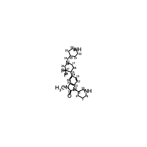 Cn1c(=O)n(C2CCCNC2)c2ccc(C3CCN(CC4CCNCC4)CC3(F)F)cc21